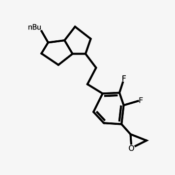 CCCCC1CCC2C(CCc3ccc(C4CO4)c(F)c3F)CCC12